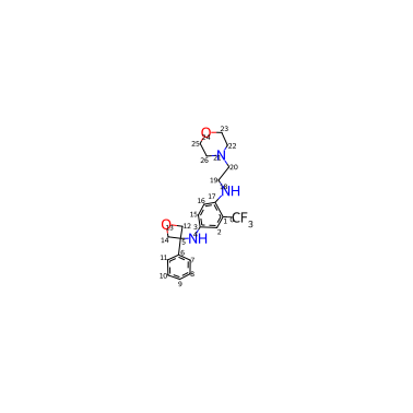 FC(F)(F)c1cc(NC2(c3ccccc3)COC2)ccc1NCCN1CCOCC1